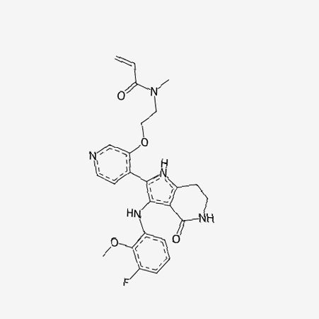 C=CC(=O)N(C)CCOc1cnccc1-c1[nH]c2c(c1Nc1cccc(F)c1OC)C(=O)NCC2